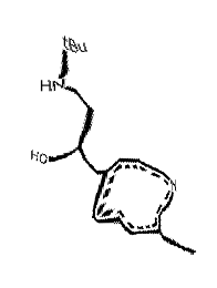 Cc1ccc([C@@H](O)CNC(C)(C)C)cn1